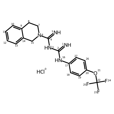 Cl.N=C(NC(=N)N1CCc2ccccc2C1)Nc1ccc(OC(F)(F)F)cc1